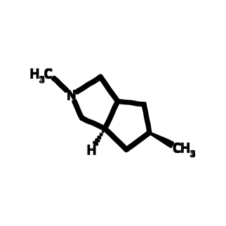 C[C@@H]1CC2CN(C)C[C@@H]2C1